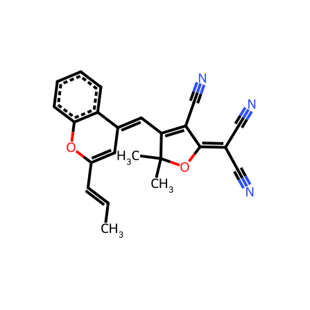 C/C=C/C1=CC(=C\C2=C(C#N)C(=C(C#N)C#N)OC2(C)C)/c2ccccc2O1